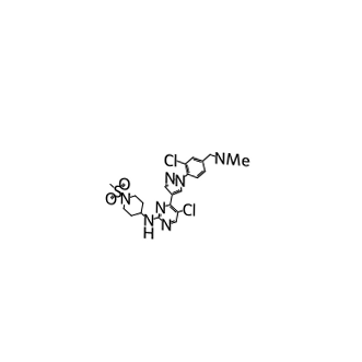 CNCc1ccc(-n2cc(-c3nc(NC4CCN(S(C)(=O)=O)CC4)ncc3Cl)cn2)c(Cl)c1